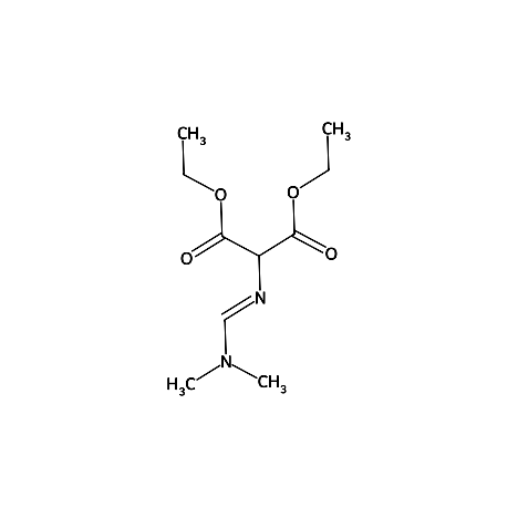 CCOC(=O)C(/N=C/N(C)C)C(=O)OCC